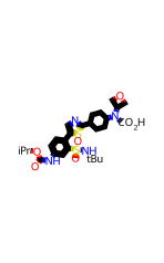 CC(C)OC(=O)Nc1ccc(-c2cnc(C3CCC(N(C(=O)O)C4COC4)CC3)s2)c(S(=O)(=O)NC(C)(C)C)c1